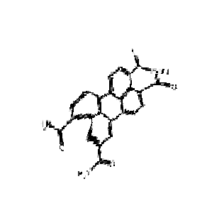 NC(=O)c1cc2c(C(N)=O)ccc3c4ccc5c6c(ccc(c(c1)c23)c64)C(=O)NC5=O